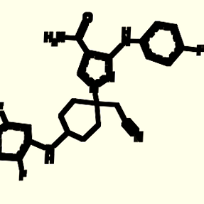 N#CCC1(n2cc(C(N)=O)c(Nc3ccc(F)cc3)n2)CCC(Nc2cc(F)ccc2F)CC1